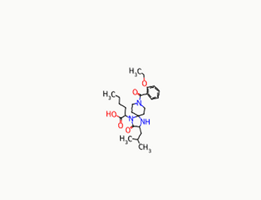 CCCCC(C(=O)O)N1C(=O)C(CC(C)C)NC12CCN(C(=O)c1ccccc1OCC)CC2